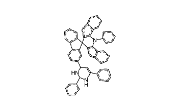 C1=C(c2ccccc2)NC(c2ccccc2)NC1c1ccc2c(c1)C1(c3ccccc3-2)c2ccc3ccccc3c2N(c2ccccc2)c2c1ccc1ccccc21